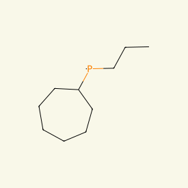 CCC[P]C1CCCCCC1